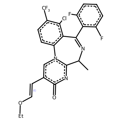 CCO/C=C/c1cn2c(nc1=O)C(C)N=C(c1c(F)cccc1F)c1c-2ccc(C(F)(F)F)c1Cl